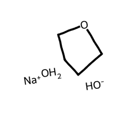 C1CCOC1.O.[Na+].[OH-]